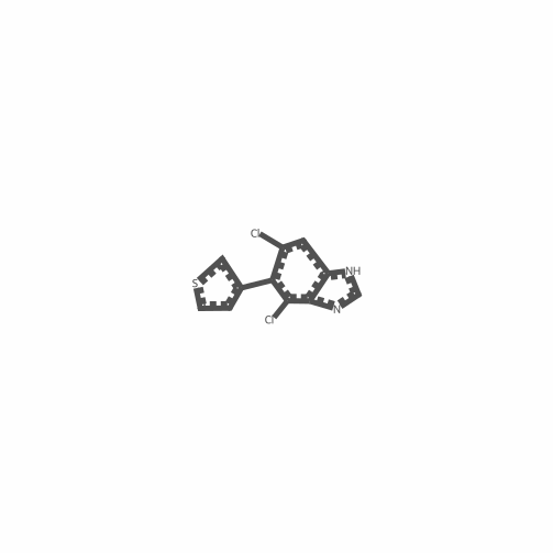 Clc1cc2[nH]cnc2c(Cl)c1-c1ccsc1